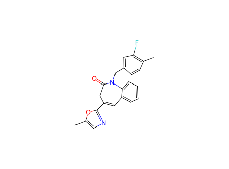 Cc1cnc(C2=Cc3ccccc3N(Cc3ccc(C)c(F)c3)C(=O)C2)o1